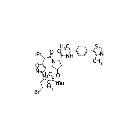 Cc1ncsc1-c1ccc([C@H](C)NC(=O)[C@@H]2C[C@@H](O[Si](C)(C)C(C)(C)C)CN2C(=O)C(c2cc(OCCBr)no2)C(C)C)cc1